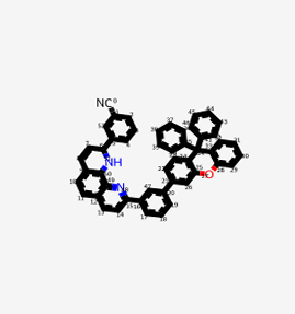 N#Cc1cccc(C2C=Cc3ccc4ccc(-c5cccc(-c6ccc7c(c6)Oc6ccccc6C7(c6ccccc6)c6ccccc6)c5)nc4c3N2)c1